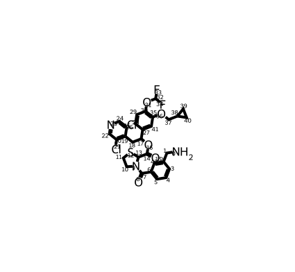 NCc1cccc(C(=O)N2CCSC2C(=O)OC(Cc2c(Cl)cncc2Cl)c2ccc(OC(F)F)c(OCC3CC3)c2)c1